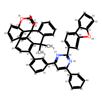 CC1(C)c2ccccc2C2(c3ccccc3Oc3ccccc32)c2cccc(-c3cccc(-c4cc(-c5ccccc5)nc(-c5ccc6c(c5)oc5ccccc56)n4)c3)c21